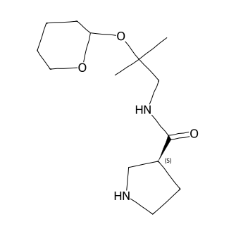 CC(C)(CNC(=O)[C@H]1CCNC1)OC1CCCCO1